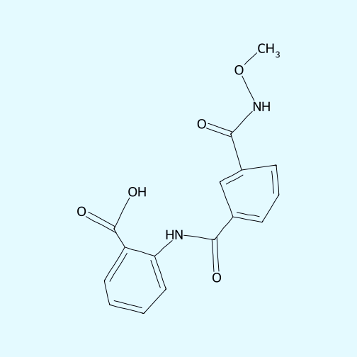 CONC(=O)c1cccc(C(=O)Nc2ccccc2C(=O)O)c1